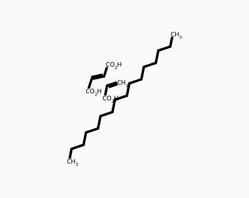 C=CC(=O)O.CCCCCCCCCCCCCCCC.O=C(O)/C=C/C(=O)O